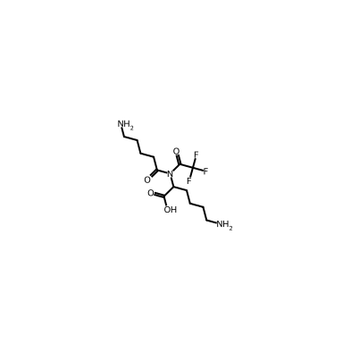 NCCCCC(=O)N(C(=O)C(F)(F)F)C(CCCCN)C(=O)O